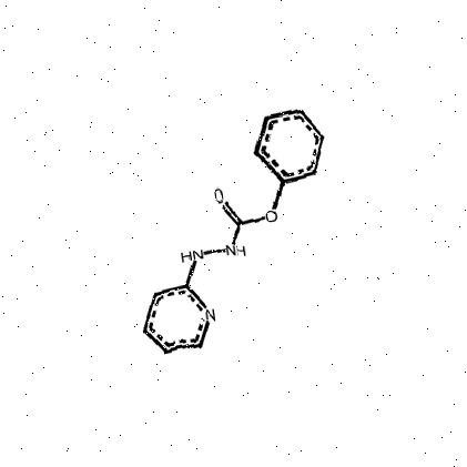 O=C(NNc1ccccn1)Oc1ccccc1